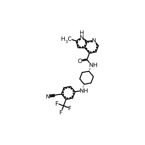 Cc1cc2c(C(=O)N[C@H]3CC[C@@H](Nc4ccc(C#N)c(C(F)(F)F)c4)CC3)ccnc2[nH]1